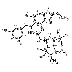 CSc1nc2cc(Br)c([C@H](Cc3cc(F)cc(F)c3)NC(=O)Cn3nc(C(F)(F)F)c4c3C(F)(F)[C@H](C)[C@@H]4C)nc2o1